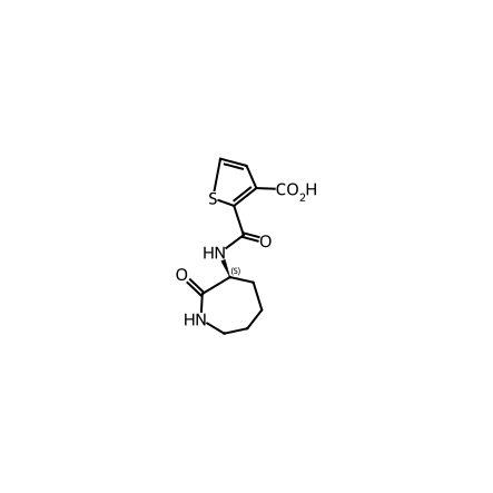 O=C(O)c1ccsc1C(=O)N[C@H]1CCCCNC1=O